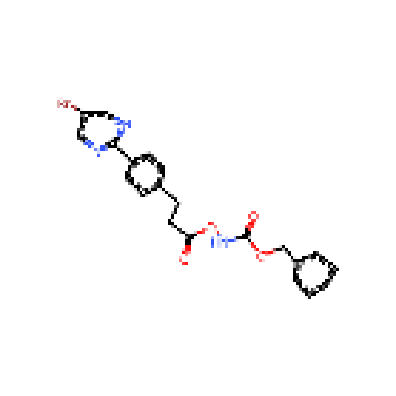 O=C(CCc1ccc(-c2ncc(Br)cn2)cc1)ONC(=O)OCc1ccccc1